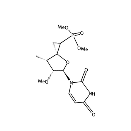 CO[C@H]1[C@H](n2ccc(=O)[nH]c2=O)O[C@@]2(CC2P(=O)(OC)OC)[C@H]1C